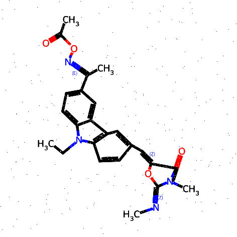 CCn1c2ccc(/C=C3\O/C(=N\C)N(C)C3=O)cc2c2cc(/C(C)=N/OC(C)=O)ccc21